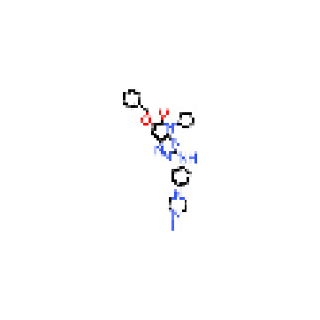 O=c1c(OCc2ccccc2)cc2nnc(Nc3ccc(N4CCNCC4)cc3)nc2n1C1CCCC1